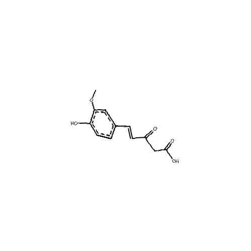 COc1cc(/C=C/C(=O)CC(=O)O)ccc1O